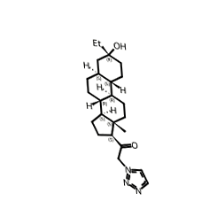 CC[C@@]1(O)CC[C@H]2[C@@H](CC[C@@H]3[C@@H]2CC[C@]2(C)[C@@H](C(=O)Cn4ccnn4)CC[C@@H]32)C1